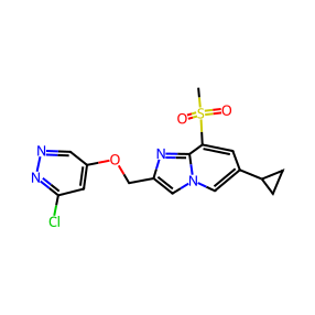 CS(=O)(=O)c1cc(C2CC2)cn2cc(COc3cnnc(Cl)c3)nc12